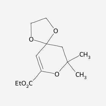 CCOC(=O)C1=CC2(CC(C)(C)O1)OCCO2